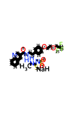 CNC(=S)N=S(=O)=O.O=C(NCCc1ccc(OCCOCC(F)(F)F)cc1)c1cnc2ccccc2c1.[NaH]